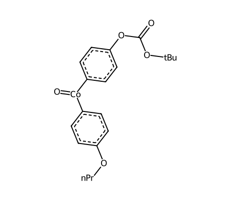 CCCOc1cc[c]([Co](=[O])[c]2ccc(OC(=O)OC(C)(C)C)cc2)cc1